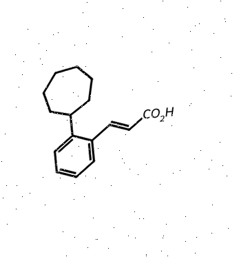 O=C(O)C=Cc1ccccc1C1CCCCCC1